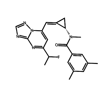 Cc1cc(C)cc(C(=O)N(C)[C@H]2C/C2=C/c2cc(C(C)F)nc3ncnn23)c1